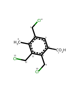 Cc1c(CCl)cc(C(=O)O)c(CCl)c1CCl